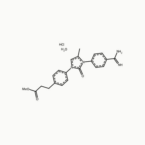 COC(=O)CCc1ccc(-n2cc(C)n(-c3ccc(C(=N)N)cc3)c2=O)cc1.Cl.O